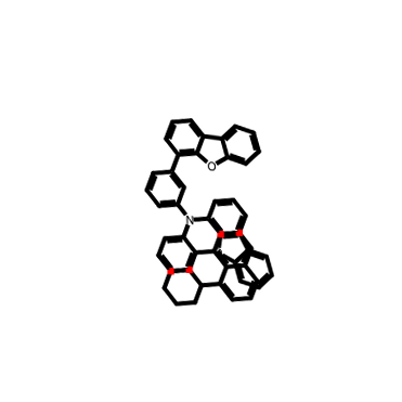 c1cc(-c2cccc3c2oc2ccccc23)cc(N(c2ccccc2-c2cccc3cccc(C4CCCCC4)c23)c2cccc3c2oc2ccccc23)c1